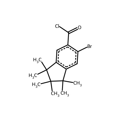 CC1(C)c2cc(Br)c(C(=O)Cl)cc2C(C)(C)C1(C)C